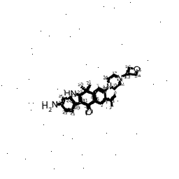 C=C(C)c1cc2c(cc1N1CCN(C3COC3)CC1)C(C)(C)c1[nH]c3cc(N)ccc3c1C2=O